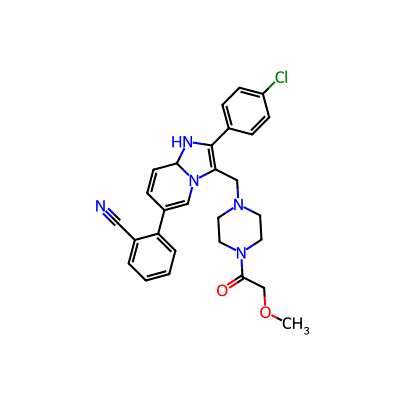 COCC(=O)N1CCN(CC2=C(c3ccc(Cl)cc3)NC3C=CC(c4ccccc4C#N)=CN23)CC1